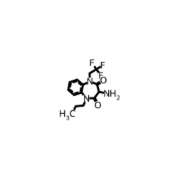 CCCN1C(=O)C(N)C(=O)N(CC(F)(F)F)c2ccccc21